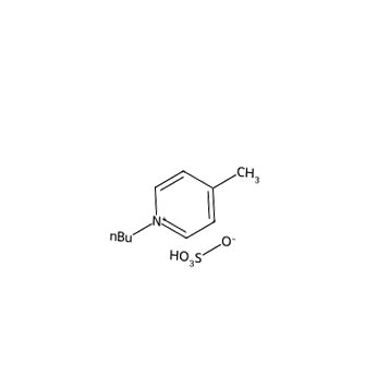 CCCC[n+]1ccc(C)cc1.O=S(=O)([O-])O